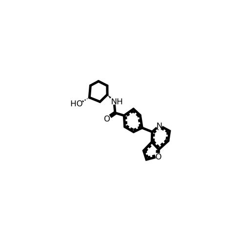 O=C(N[C@H]1CCC[C@@H](O)C1)c1ccc(-c2nccc3occc23)cc1